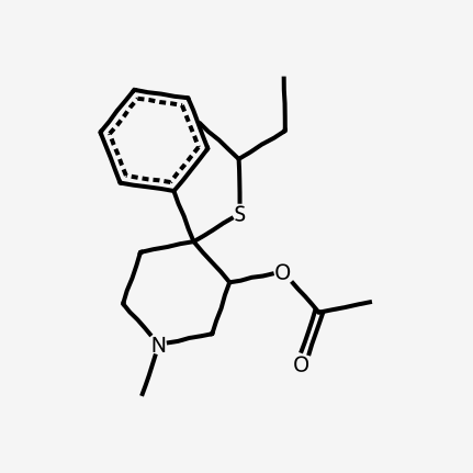 CCC(C)SC1(c2ccccc2)CCN(C)CC1OC(C)=O